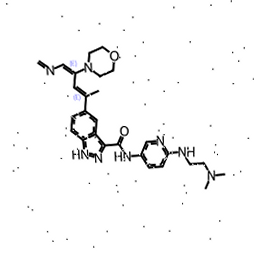 C=N/C=C(\C=C(/C)c1ccc2[nH]nc(C(=O)Nc3ccc(NCCN(C)C)nc3)c2c1)N1CCOCC1